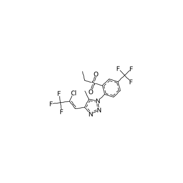 CCS(=O)(=O)c1cc(C(F)(F)F)ccc1-n1nnc(C=C(Cl)C(F)(F)F)c1C